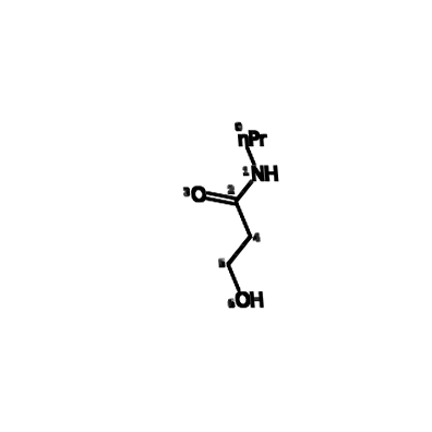 CCCNC(=O)CCO